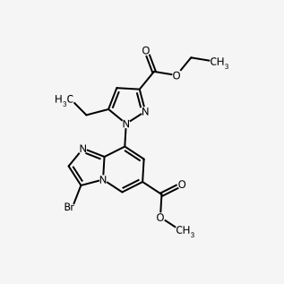 CCOC(=O)c1cc(CC)n(-c2cc(C(=O)OC)cn3c(Br)cnc23)n1